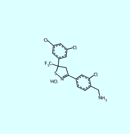 Cl.NCc1ccc(C2=NSC(c3cc(Cl)cc(Cl)c3)(C(F)(F)F)C2)cc1Cl